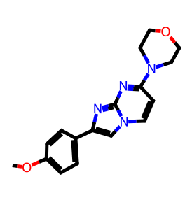 COc1ccc(-c2cn3ccc(N4CCOCC4)nc3n2)cc1